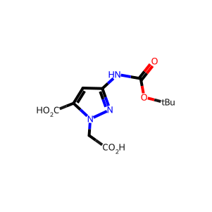 CC(C)(C)OC(=O)Nc1cc(C(=O)O)n(CC(=O)O)n1